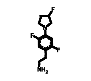 NCCc1cc(F)c(N2C[CH]C(F)C2)cc1F